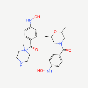 CC1CN(C(=O)c2ccc(NO)cc2)CC(C)O1.C[N+]1(C(=O)c2ccc(NO)cc2)CCNCC1